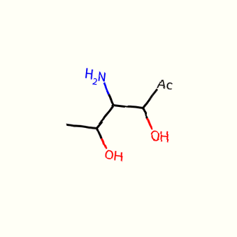 CC(=O)C(O)C(N)C(C)O